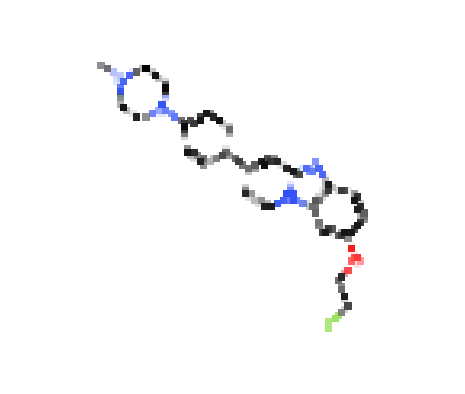 CN1CCN(c2ccc(-c3ccn4c(c3)nc3ccc(OCCF)cc34)cc2)CC1